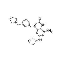 Nc1nc(NC2CCOC2)nc2c1NC(=O)CN2Cc1cccc(CN2CCCC2)c1